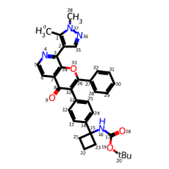 Cc1c(-c2nccc3c(=O)c(-c4ccc(C5(NC(=O)OC(C)(C)C)CCC5)cc4)c(-c4ccccc4)oc23)cnn1C